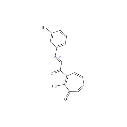 O=C(/C=C/c1cccc(Br)c1)c1ccccc(=O)c1O